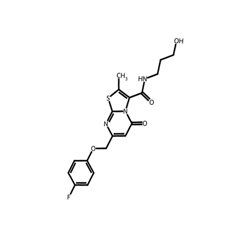 Cc1sc2nc(COc3ccc(F)cc3)cc(=O)n2c1C(=O)NCCCO